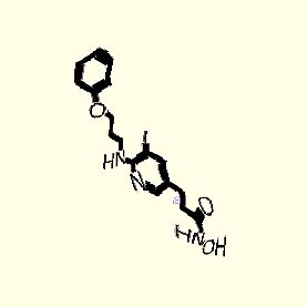 O=C(/C=C/c1cnc(NCCCOc2ccccc2)c(I)c1)NO